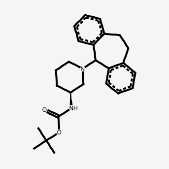 CC(C)(C)OC(=O)N[C@H]1CCCN(C2c3ccccc3CCc3ccccc32)C1